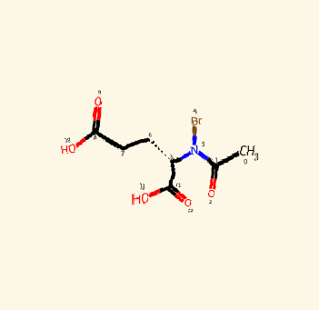 CC(=O)N(Br)[C@@H](CCC(=O)O)C(=O)O